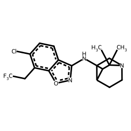 CC1(C)C(Nc2noc3c(CC(F)(F)F)c(Cl)ccc23)C2CCN1CC2